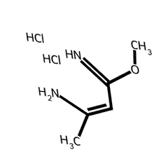 COC(=N)C=C(C)N.Cl.Cl